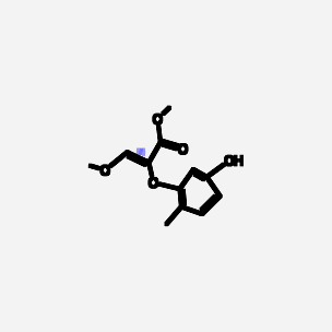 CO/C=C(\Oc1cc(O)ccc1C)C(=O)OC